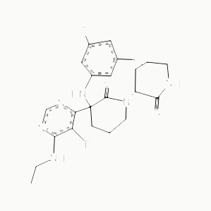 CCNc1ncnc(C2(Nc3cc(F)cc(Cl)c3)CCCN([C@@H]3CCCNC3=O)C2=O)c1F